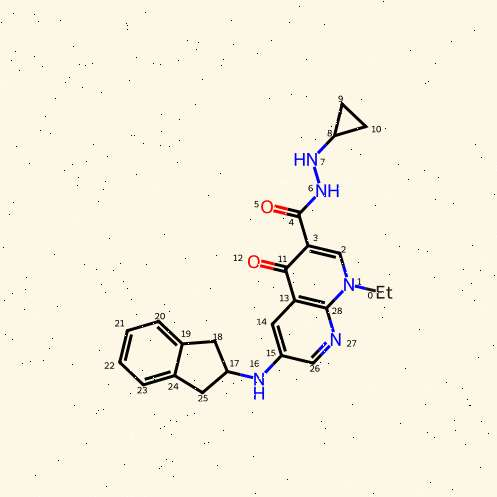 CCn1cc(C(=O)NNC2CC2)c(=O)c2cc(NC3Cc4ccccc4C3)cnc21